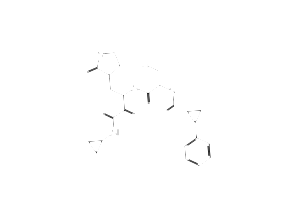 CC(C)(C)C[C@H](NC(=O)[C@@H]1C[C@H]1c1ccccc1)C(=O)NC(CC1CCNC1=O)C(=O)C(=O)NC1CC1